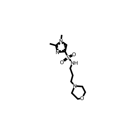 Cc1nc(S(=O)(=O)NCCCN2CCOCC2)cn1C